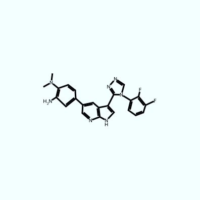 CN(C)c1ccc(-c2cnc3[nH]cc(-c4nncn4-c4cccc(F)c4F)c3c2)cc1N